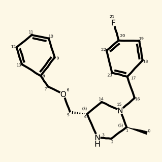 C[C@H]1CN[C@H](COCc2ccccc2)CN1Cc1ccc(F)cc1